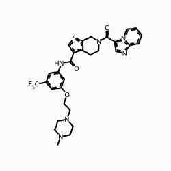 CN1CCN(CCOc2cc(NC(=O)c3csc4c3CCN(C(=O)c3cnc5ccccn35)C4)cc(C(F)(F)F)c2)CC1